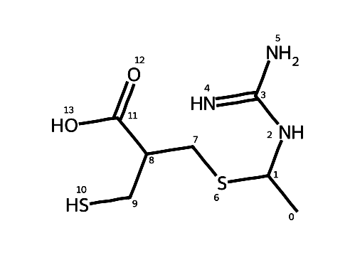 CC(NC(=N)N)SCC(CS)C(=O)O